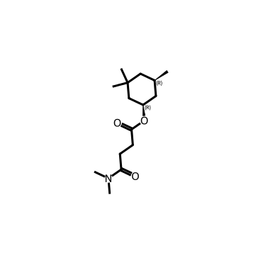 C[C@H]1C[C@@H](OC(=O)CCC(=O)N(C)C)CC(C)(C)C1